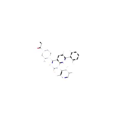 C=CC(=O)N1CCN(C2=NC(O)N(C3=C(CCC)N=CC(C)[C@@H]3C)c3nc(-c4c(O)cccc4F)c(F)cc32)[C@@H](C)C1